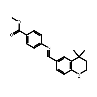 COC(=O)c1ccc(N=Cc2ccc3c(c2)C(C)(C)CCN3)cc1